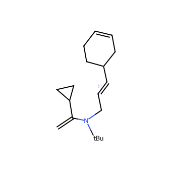 C=C(C1CC1)N(C/C=C/C1CC=CCC1)C(C)(C)C